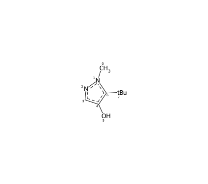 Cn1ncc(O)c1C(C)(C)C